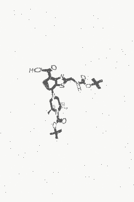 C[C@H]1CN(c2ccc(C(=O)O)c3nc(CNC(=O)OC(C)(C)C)sc23)C[C@H](C)N1C(=O)OC(C)(C)C